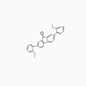 CCc1ccccc1-c1ccc2c(c1)C(=O)c1cc(-c3ccccc3CC)ccc1-2